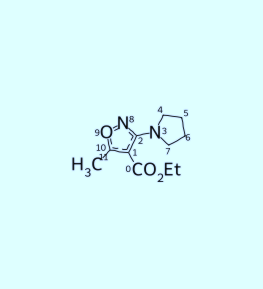 CCOC(=O)c1c(N2CCCC2)noc1C